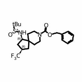 CC(C)(C)[S+]([O-])N[C@@H]1C[C@H](C(F)(F)F)CC12CCN(C(=O)OCc1ccccc1)CC2